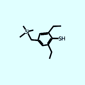 CCc1cc(C[Si](C)(C)C)cc(CC)c1S